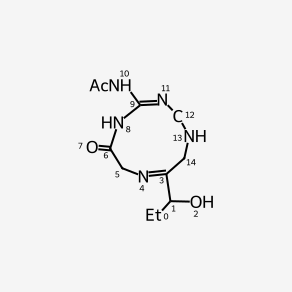 CCC(O)/C1=N/CC(=O)N/C(NC(C)=O)=N\CNC1